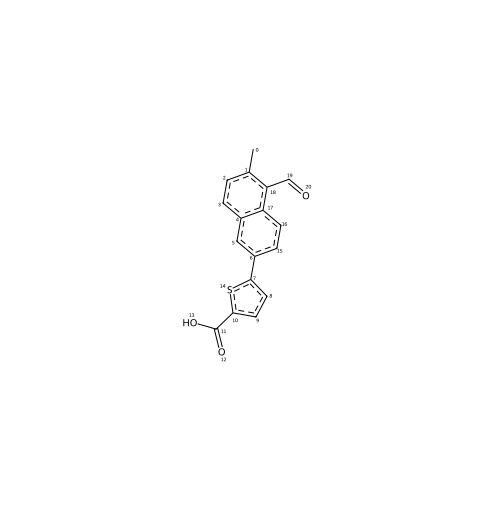 Cc1ccc2cc(-c3ccc(C(=O)O)s3)ccc2c1C=O